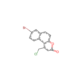 O=c1cc(CCl)c2c(ccc3cc(Br)ccc32)o1